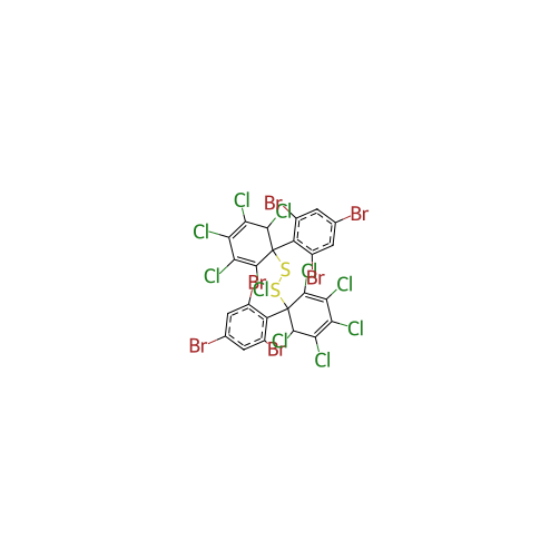 ClC1=C(Cl)C(Cl)C(SSC2(c3c(Br)cc(Br)cc3Br)C(Cl)=C(Cl)C(Cl)=C(Cl)C2Cl)(c2c(Br)cc(Br)cc2Br)C(Cl)=C1Cl